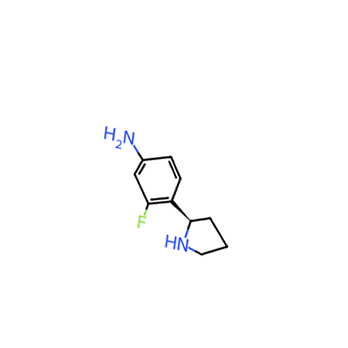 Nc1ccc([C@H]2CCCN2)c(F)c1